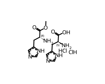 COC(=O)[C@H](N)Cc1cnc[nH]1.Cl.Cl.N[C@@H](Cc1cnc[nH]1)C(=O)O